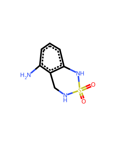 Nc1cccc2c1CNS(=O)(=O)N2